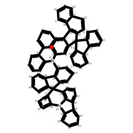 c1ccc(-c2ccccc2N(c2ccc3c(c2)C2(c4ccccc4-c4ccccc42)c2ccc4ccccc4c2-3)c2cccc3c2-c2ccccc2C32c3ccccc3-n3c4ccccc4c4cccc2c43)cc1